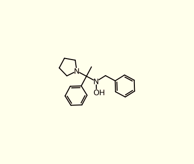 CC(c1ccccc1)(N(O)Cc1ccccc1)N1CCCC1